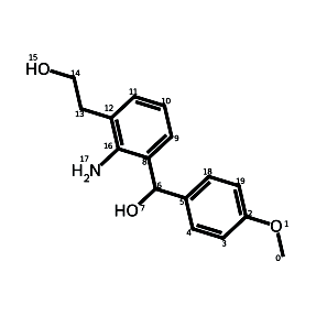 COc1ccc(C(O)c2cccc(CCO)c2N)cc1